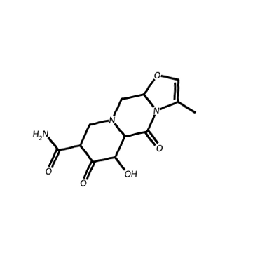 CC1=COC2CN3CC(C(N)=O)C(=O)C(O)C3C(=O)N12